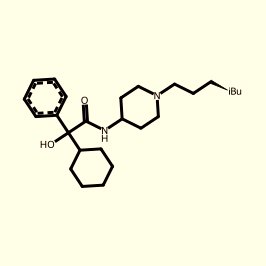 CC[C@H](C)CCCN1CCC(NC(=O)C(O)(c2ccccc2)C2CCCCC2)CC1